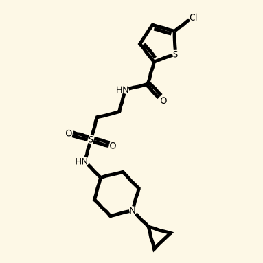 O=C(NCCS(=O)(=O)NC1CCN(C2CC2)CC1)c1ccc(Cl)s1